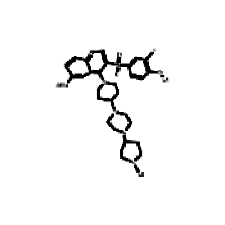 CCOc1ccc(S(=O)(=O)c2cnc3ccc(SC)cc3c2N2CCC(N3CCN(C4CCN(CC)CC4)CC3)CC2)cc1F